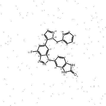 O=c1[nH]c2ccc(-n3nnc4c(F)cc(-c5ccnn5Cc5ccccn5)cc43)cc2[nH]1